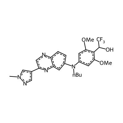 CCCCN(c1cc(OC)c(C(O)C(F)(F)F)c(OC)c1)c1ccc2ncc(-c3cnn(C)c3)nc2c1